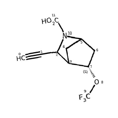 C#CC1C2CC(C[C@@H]2OC(F)(F)F)N1C(=O)O